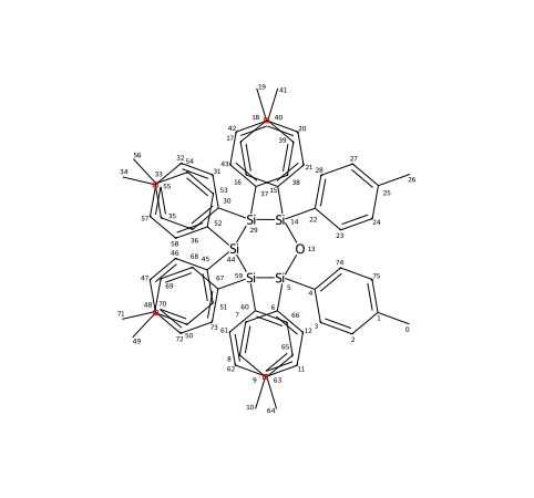 Cc1ccc([Si]2(c3ccc(C)cc3)O[Si](c3ccc(C)cc3)(c3ccc(C)cc3)[Si](c3ccc(C)cc3)(c3ccc(C)cc3)[Si](c3ccc(C)cc3)(c3ccc(C)cc3)[Si]2(c2ccc(C)cc2)c2ccc(C)cc2)cc1